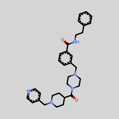 O=C(NCCc1ccccc1)c1cccc(CN2CCN(C(=O)C3CCN(Cc4ccncc4)CC3)CC2)c1